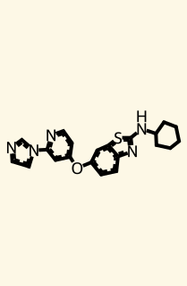 c1cn(-c2cc(Oc3ccc4nc(NC5CCCCC5)sc4c3)ccn2)cn1